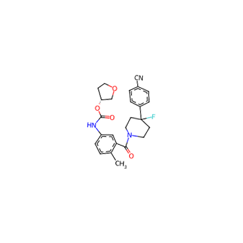 Cc1ccc(NC(=O)O[C@@H]2CCOC2)cc1C(=O)N1CCC(F)(c2ccc(C#N)cc2)CC1